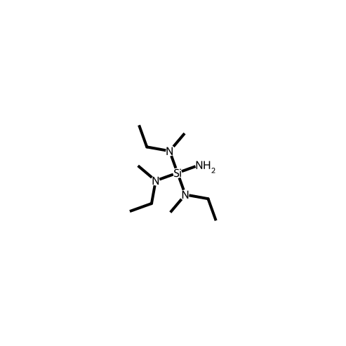 CCN(C)[Si](N)(N(C)CC)N(C)CC